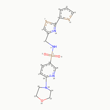 O=S(=O)(NCc1csc(-c2cccs2)n1)c1ccc(N2CCOCC2)nc1